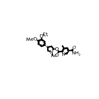 CCOc1cc([C@@H]2C[C@@H](OC(=O)c3ncc(C(N)=O)cc3C)N(C(C)=O)C2)ccc1OC